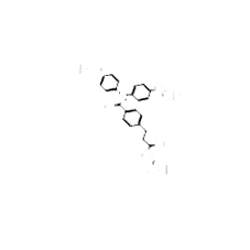 CCOC(=O)CCc1ccc(C(=O)N(c2ccc(O)cc2)c2ccc(OC)cc2)cc1